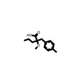 CCCC(Cc1ccc(C)cc1)(OC)C(=O)O